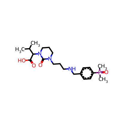 CC(C)C(C(=O)O)N1CCCN(CCCNCc2ccc(P(C)(C)=O)cc2)C1=O